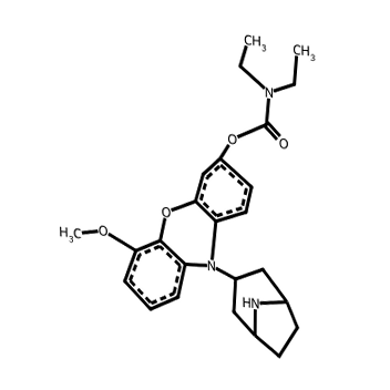 CCN(CC)C(=O)Oc1ccc2c(c1)Oc1c(OC)cccc1N2C1CC2CCC(C1)N2